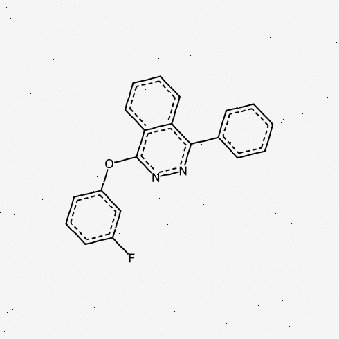 Fc1cccc(Oc2nnc(-c3ccccc3)c3ccccc23)c1